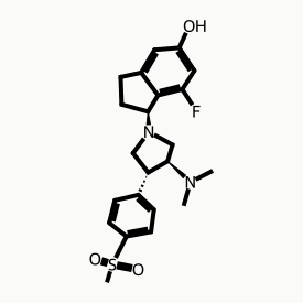 CN(C)[C@@H]1CN([C@H]2CCc3cc(O)cc(F)c32)C[C@H]1c1ccc(S(C)(=O)=O)cc1